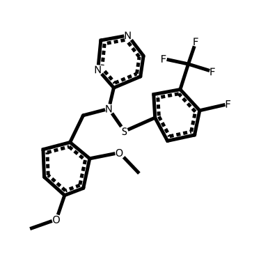 COc1ccc(CN(Sc2ccc(F)c(C(F)(F)F)c2)c2ccncn2)c(OC)c1